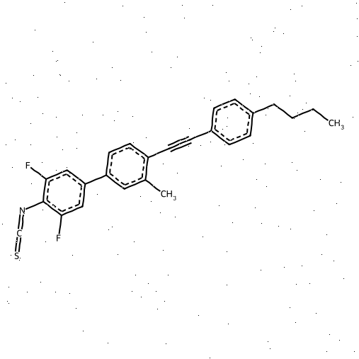 CCCCc1ccc(C#Cc2ccc(-c3cc(F)c(N=C=S)c(F)c3)cc2C)cc1